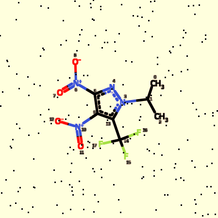 CC(C)n1nc([N+](=O)[O-])c([N+](=O)[O-])c1C(F)(F)F